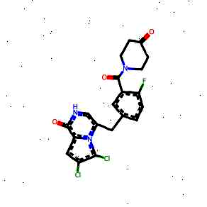 O=C1CCN(C(=O)c2cc(Cc3c[nH]c(=O)c4cc(Cl)c(Cl)n34)ccc2F)CC1